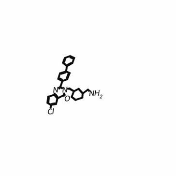 NCC1CCCC(Cn2c(-c3ccc(-c4ccccc4)cc3)nc3ccc(Cl)cc3c2=O)C1